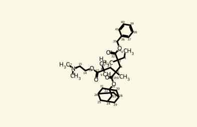 CCC(C)(CC(C)(CC(C)(C)C(=O)OCCN(C)C)C(=O)OC12CC3CC(CC(C3)C1)C2)C(=O)OCc1ccccc1